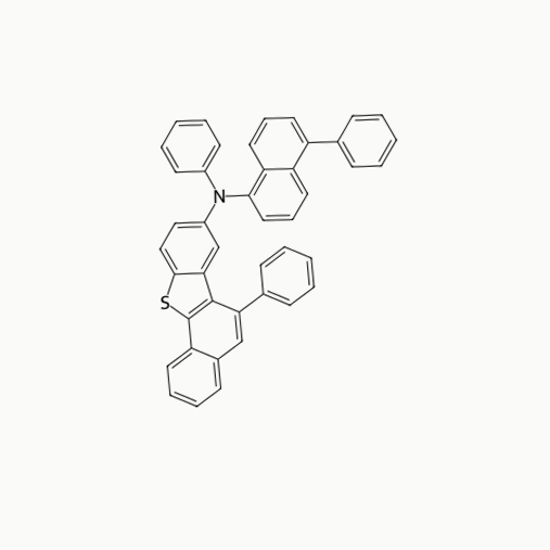 c1ccc(-c2cccc3c(N(c4ccccc4)c4ccc5sc6c7ccccc7cc(-c7ccccc7)c6c5c4)cccc23)cc1